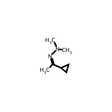 C/C(=N/N(C)C)C1CC1